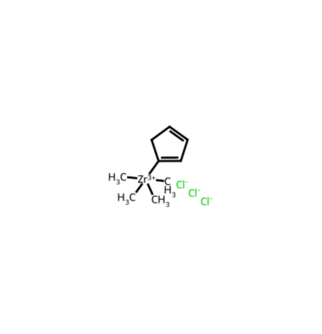 [CH3][Zr+3]([CH3])([CH3])([CH3])[C]1=CC=CC1.[Cl-].[Cl-].[Cl-]